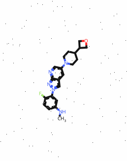 CNc1ccc(F)c(-n2cc3cc(N4CCC(C5COC5)CC4)cnc3n2)c1